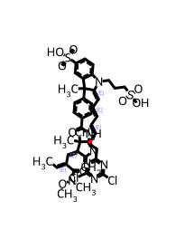 C=C1N=C(/C=C/C=C/C=C2/N(CCCS(=O)(=O)O)c3ccc(S(=O)(=O)O)cc3C2(C)c2ccc(C(=O)NCCc3nc(Cl)nc(Cl)n3)cc2)C(C)(C)/C1=C/C(=C\C)C(=O)N(C)OC